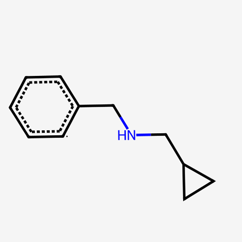 [c]1ccccc1CNCC1CC1